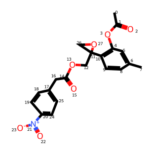 CC(=O)Oc1cc(C)ccc1C1(COC(=O)Cc2ccc([N+](=O)[O-])cc2)CO1